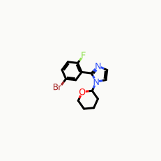 Fc1ccc(Br)cc1-c1nccn1C1CCCCO1